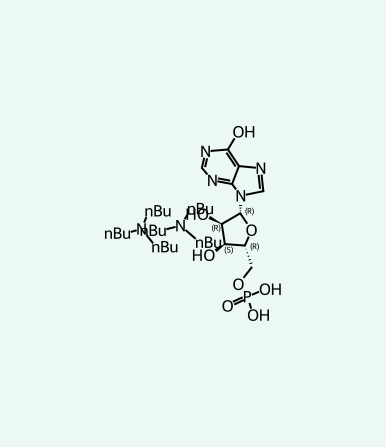 CCCCN(CCCC)CCCC.CCCCN(CCCC)CCCC.O=P(O)(O)OC[C@H]1O[C@@H](n2cnc3c(O)ncnc32)[C@H](O)[C@@H]1O